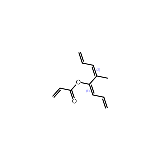 C=C/C=C(C)\C(=C/C=C)OC(=O)C=C